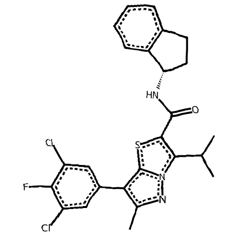 Cc1nn2c(C(C)C)c(C(=O)N[C@H]3CCc4ccccc43)sc2c1-c1cc(Cl)c(F)c(Cl)c1